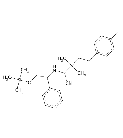 CC(C)(CCc1ccc(F)cc1)C(C#N)N[C@@H](CO[Si](C)(C)C)c1ccccc1